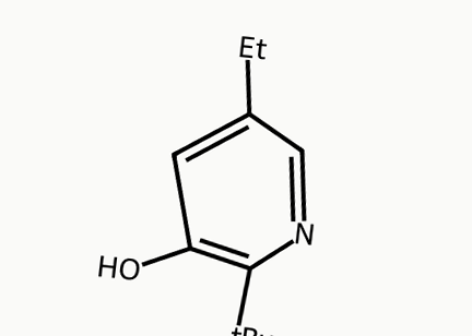 CCc1cnc(C(C)(C)C)c(O)c1